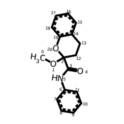 COC1(C(=O)Nc2ccccc2)CCc2ccccc2O1